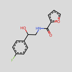 O=C(NCC(O)c1ccc(F)cc1)c1ccco1